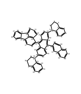 c1ccc2c(c1)CCCN2c1ccc2c(-c3ccc4c5c(cccc35)-c3ccccc3-4)c3cc(N4CCCc5ccccc54)ccc3c(-c3ccc4ccccc4c3)c2c1